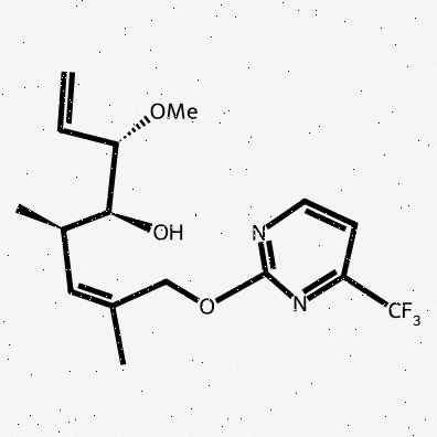 C=C[C@H](OC)[C@@H](O)[C@H](C)/C=C(/C)COc1nccc(C(F)(F)F)n1